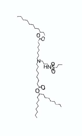 CCCCCCCCC(CC)OC(=O)CCCCCCCN(CCCCCCCC(=O)OC(CCCCCCCC)CCCCCCCC)CCCNS(=O)(=O)CCC